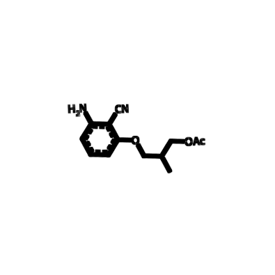 CC(=O)OCC(C)COc1cccc(N)c1C#N